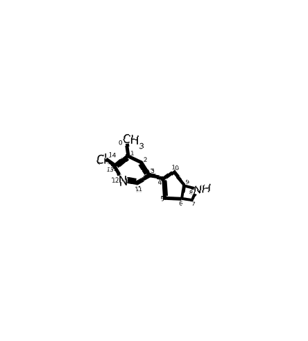 Cc1cc(C2=CC3CNC3C2)cnc1Cl